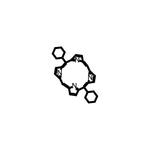 C1=CC2=NC1=CC1=NC(=C(C3CCCCC3)C3=NC(=CC4=NC(=C2C2CCCCC2)C=C4)C=C3)C=C1